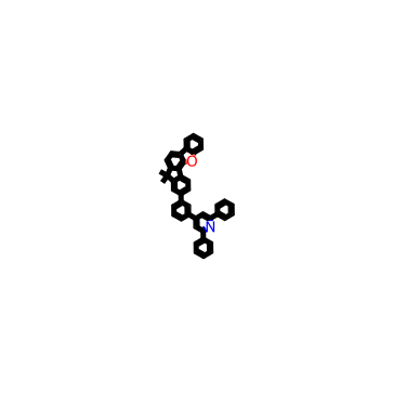 CC1(C)c2cc(-c3cccc(-c4cc(-c5ccccc5)nc(-c5ccccc5)c4)c3)ccc2-c2c1ccc1c2oc2ccccc21